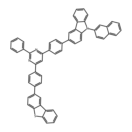 c1ccc(-c2nc(-c3ccc(-c4ccc5sc6ccccc6c5c4)cc3)cc(-c3ccc(-c4ccc5c(c4)c4ccccc4n5-c4ccc5ccccc5c4)cc3)n2)cc1